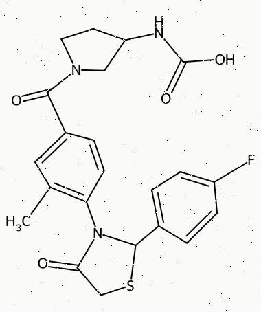 Cc1cc(C(=O)N2CCC(NC(=O)O)C2)ccc1N1C(=O)CSC1c1ccc(F)cc1